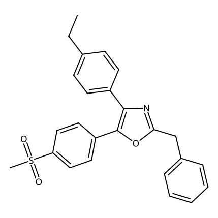 CCc1ccc(-c2nc(Cc3ccccc3)oc2-c2ccc(S(C)(=O)=O)cc2)cc1